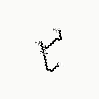 CCCCC/C=C\C/C=C\CCCCCCCCNC(=O)C(CCCCN)NC(=O)CCCCCCC/C=C\C/C=C\CCCCC